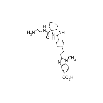 Cn1c(CCc2ccc(C(=N)NC3(C(=O)NCCN)CCCCC3)cc2)nc2cc(C(=O)O)ccc21